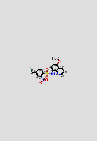 COc1ccc(NS(=O)(=O)c2ccc(CF)cc2[N+](=O)[O-])c2ncccc12